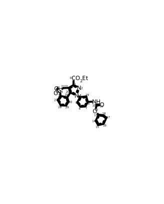 CCOC(=O)c1nn(-c2cccc(NC(=O)Oc3ccccc3)c2)c2c1CS(=O)(=O)c1ccccc1-2